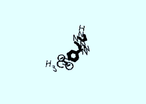 CS(=O)(=O)c1ccc(-c2nnn3c2cnc2[nH]ccc23)cc1